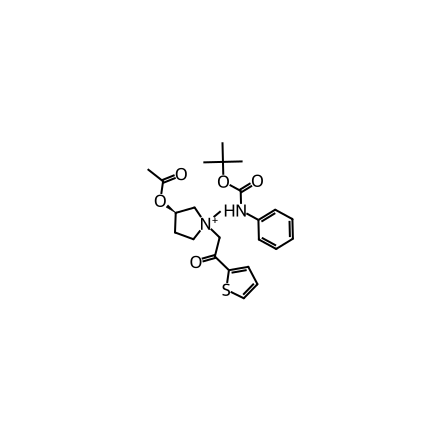 CC(=O)O[C@@H]1CC[N+](C)(CC(=O)c2cccs2)C1.CC(C)(C)OC(=O)Nc1ccccc1